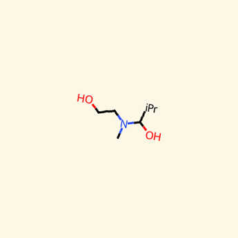 CC(C)C(O)N(C)CCO